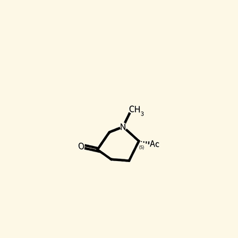 CC(=O)[C@@H]1CCC(=O)CN1C